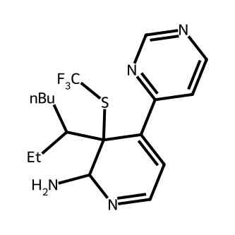 CCCCC(CC)C1(SC(F)(F)F)C(c2ccncn2)=CC=NC1N